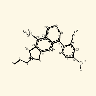 CCCN1Cc2nc3c(-c4ccc(OC)cc4F)cccc3c(N)c2C1